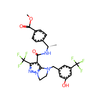 COC(=O)c1ccc([C@H](C)NC(=O)c2c(C(F)(F)F)nn3c2N(Cc2cc(O)cc(C(F)(F)F)c2)CC3)cc1